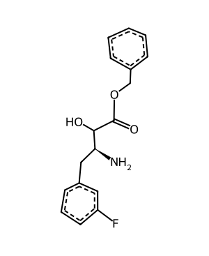 N[C@@H](Cc1cccc(F)c1)C(O)C(=O)OCc1ccccc1